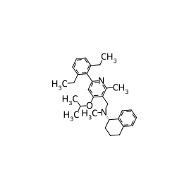 CCc1cccc(CC)c1-c1cc(OC(C)C)c(CN(C)[C@H]2CCCc3ccccc32)c(C)n1